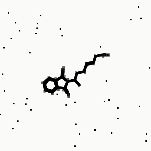 CCCCCCCCCCC/C=C/CCC(C)N1C(=O)c2ccccc2C1=O